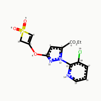 CCOC(=O)c1cc(OC2=CS(=O)(=O)C2)nn1-c1ncccc1Cl